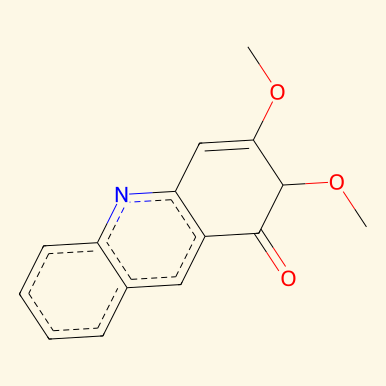 COC1=Cc2nc3ccccc3cc2C(=O)C1OC